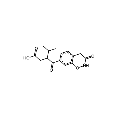 CC(C)C(CC(=O)O)C(=O)c1ccc2c(c1)ONC(=O)C2